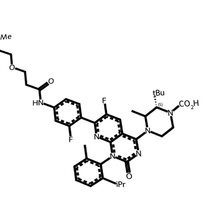 COCCOCCC(=O)Nc1ccc(-c2nc3c(cc2F)c(N2CCN(C(=O)O)[C@@H](C(C)(C)C)C2C)nc(=O)n3-c2c(C)cccc2C(C)C)c(F)c1